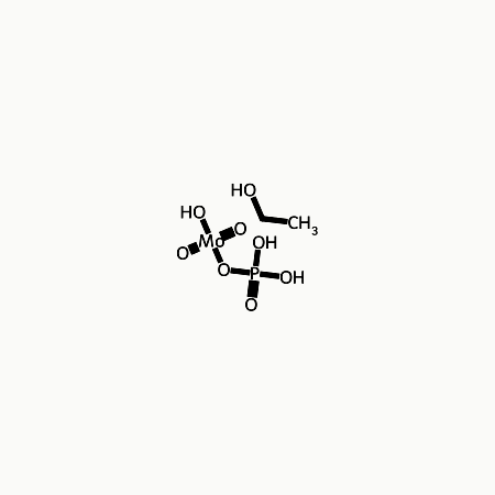 CCO.O=P(O)(O)[O][Mo](=[O])(=[O])[OH]